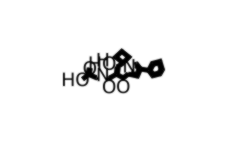 O=C(O)CNC(=O)C1=C(O)C2(CCC2)n2cc(-c3ccccc3)cc2C1=O